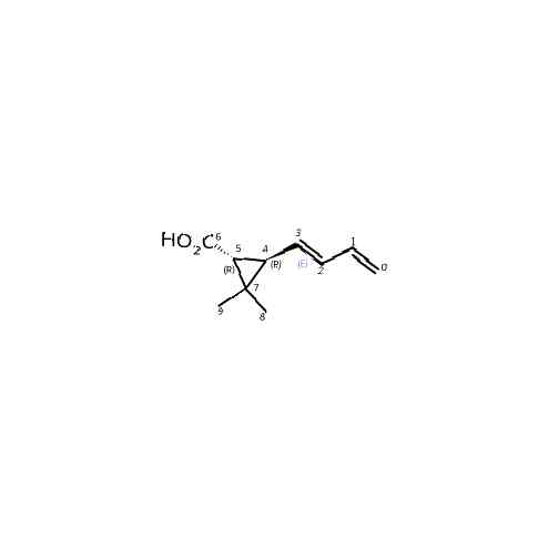 C=C/C=C/[C@@H]1[C@@H](C(=O)O)C1(C)C